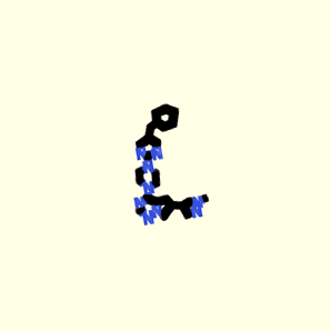 Cn1cc(-c2cc3c(N4CCN(c5ncc(Cc6ccccc6)cn5)CC4)ncnn3c2)cn1